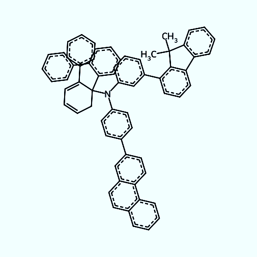 CC1(C)c2ccccc2-c2cccc(-c3cccc(N(c4ccc(-c5ccc6c(ccc7ccccc76)c5)cc4)C4(c5ccccc5-c5ccccc5)CC=CC=C4c4ccccc4)c3)c21